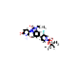 CCn1c(=O)n(C2CCC(=O)NC2=O)c2ccc([C@@H]3CCN(C(=O)OC(C)(C)C)C[C@H]3F)cc21